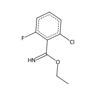 CCOC(=N)c1c(F)cccc1Cl